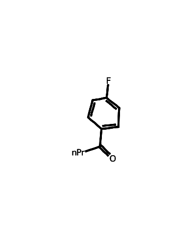 [CH2]CCC(=O)c1ccc(F)cc1